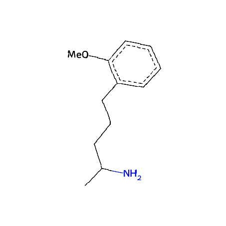 COc1ccccc1CCCC(C)N